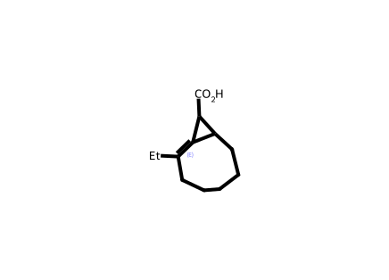 CC/C1=C2/C(CCCCC1)C2C(=O)O